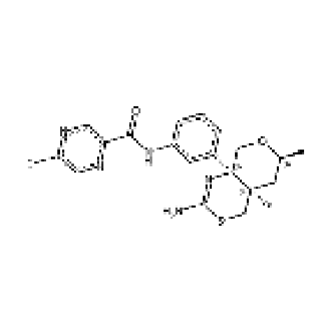 C[C@H]1C[C@@]2(F)CSC(N)=N[C@@]2(c2cccc(NC(=O)c3cnc(Cl)cn3)c2)CO1